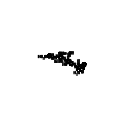 COc1cc(N=Nc2c(SOOO)cc3cc(N=Nc4c(C)c(C(N)=O)c5nc6ccccc6n5c4O)ccc3c2O)c(NC(C)=O)cc1N=Nc1nc2ccc(C(=O)O)cc2s1